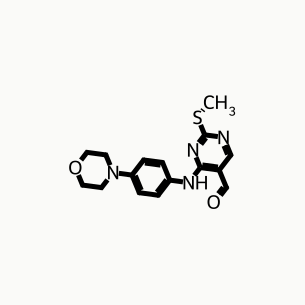 CSc1ncc(C=O)c(Nc2ccc(N3CCOCC3)cc2)n1